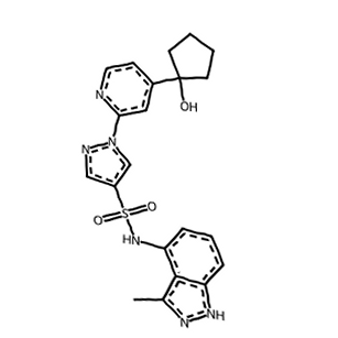 Cc1n[nH]c2cccc(NS(=O)(=O)c3cnn(-c4cc(C5(O)CCCC5)ccn4)c3)c12